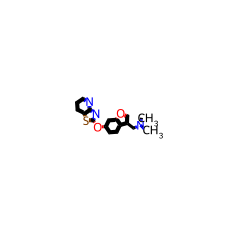 CN(C)Cc1coc2cc(Oc3nc4ncccc4s3)ccc12